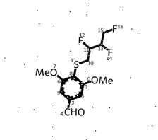 COc1cc(C=O)cc(OC)c1SCC(F)C(F)CF